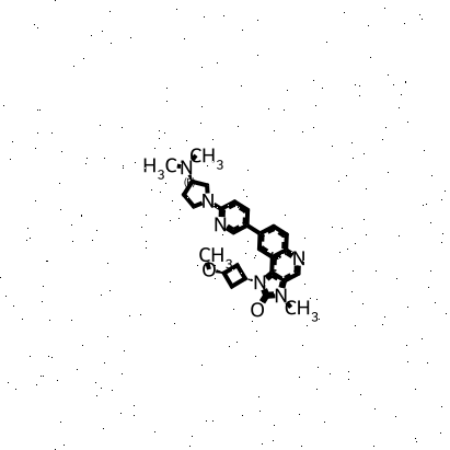 CO[C@H]1C[C@H](n2c(=O)n(C)c3cnc4ccc(-c5ccc(N6CC[C@@H](N(C)C)C6)nc5)cc4c32)C1